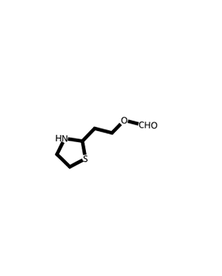 O=COCCC1NCCS1